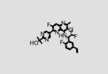 C=Cc1ccc(F)c([C@H](Nc2c(Cl)c(C)nc3cc(F)c(-c4cnc(C(C)(C)O)nc4)nc23)C(F)F)c1